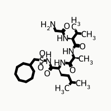 CC(C)CC[C@H](NC(=O)[C@H](C)NC(=O)[C@@H](NC(=O)CN)C(C)C)C(=O)NS(=O)(=O)CC1CCCCCCC1